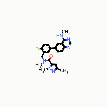 CNc1ncnc2ccc(-c3ccc(F)c(CN(C)C(=O)c4cc(C)nn4C)c3)cc12